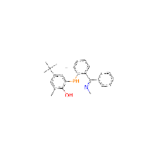 C/N=C(\c1ccccc1)c1cccc(C)c1Pc1cc(C(C)(C)C)cc(C)c1O